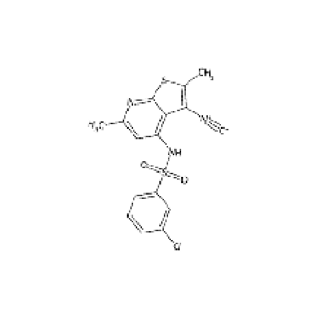 [C-]#[N+]c1c(C)sc2nc(C)cc(NS(=O)(=O)c3cccc(Cl)c3)c12